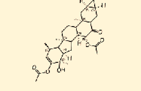 CC(=O)OC1=C[C@@H](C)C2[C@@H](CC3[C@H]4C(CC[C@@]32C)[C@@]2(C)C[C@H]3C[C@H]3CC2C(=O)[C@@H]4OC(C)=O)[C@@]1(C)O